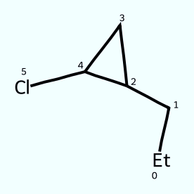 CCCC1CC1Cl